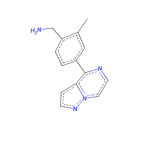 Cc1cc(-c2nccn3nccc23)ccc1CN